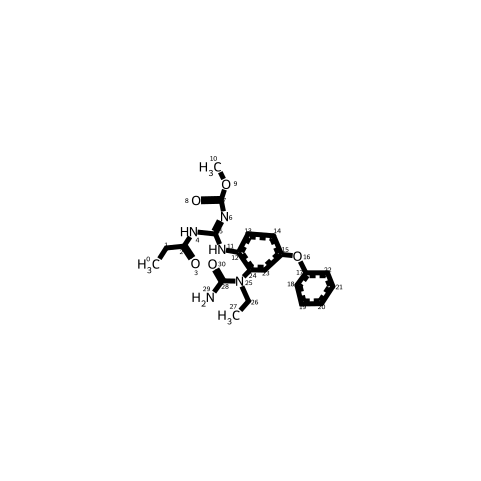 CCC(=O)NC(=NC(=O)OC)Nc1ccc(Oc2ccccc2)cc1N(CC)C(N)=O